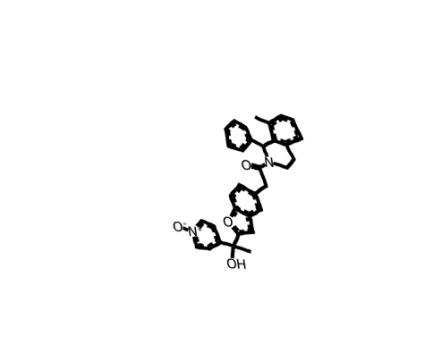 Cc1cccc2c1C(c1ccccc1)N(C(=O)Cc1ccc3oc(C(C)(O)c4cc[n+]([O-])cc4)cc3c1)CC2